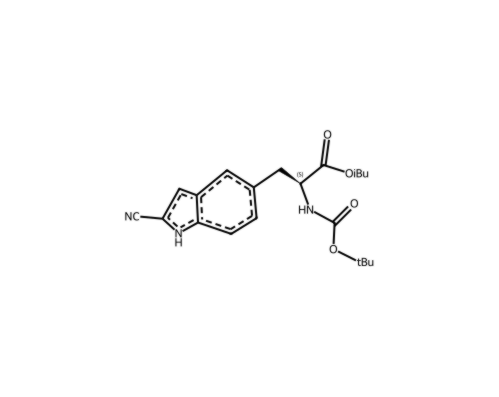 CC(C)COC(=O)[C@H](Cc1ccc2[nH]c(C#N)cc2c1)NC(=O)OC(C)(C)C